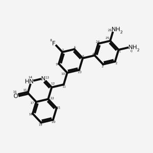 Nc1ccc(-c2cc(F)cc(Cc3n[nH]c(=O)c4ccccc34)c2)cc1N